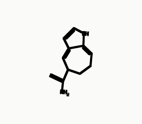 C=C(N)C1C=C2C=CBC2=CCC1